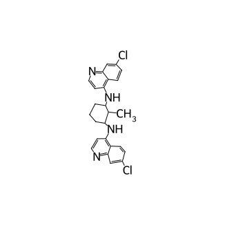 CC1C(Nc2ccnc3cc(Cl)ccc23)CCCC1Nc1ccnc2cc(Cl)ccc12